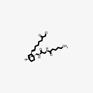 CCCCCC(=O)NCC(=O)NC[C@@]12CC[C@@H](C[C@H]1C=CCCCCC(=O)CCl)O2